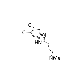 CNCCCc1nc2cc(Cl)c(Cl)cc2[nH]1